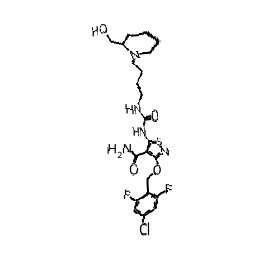 NC(=O)c1c(OCc2c(F)cc(Cl)cc2F)nsc1NC(=O)NCCCCN1CCCCC1CO